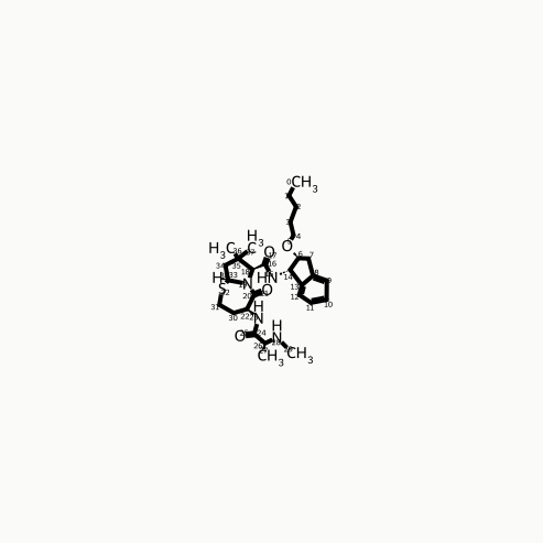 CCCCCO[C@@H]1Cc2ccccc2[C@@H]1NC(=O)[C@H]1N2C(=O)[C@@H](NC(=O)[C@H](C)NC)CCS[C@H]2CC1(C)C